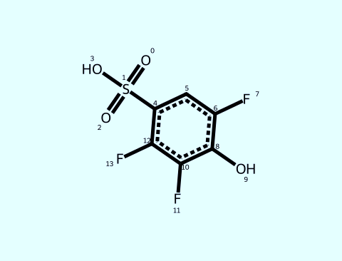 O=S(=O)(O)c1cc(F)c(O)c(F)c1F